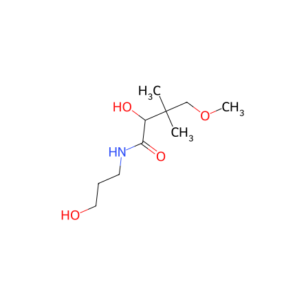 COCC(C)(C)C(O)C(=O)NCCCO